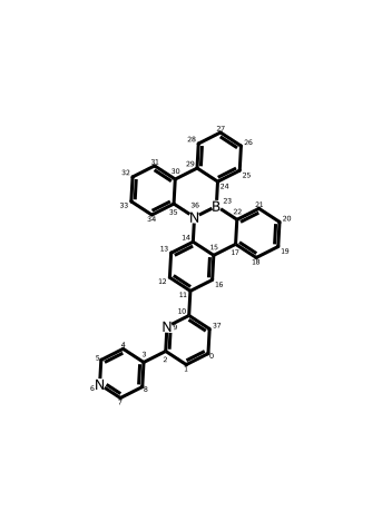 c1cc(-c2ccncc2)nc(-c2ccc3c(c2)-c2ccccc2B2c4ccccc4-c4ccccc4N23)c1